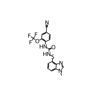 Cn1cnc2c(SNC(=O)Nc3ccc(C#N)cc3OC(F)(F)F)cccc21